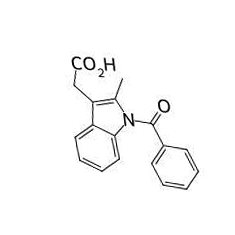 Cc1c(CC(=O)O)c2ccccc2n1C(=O)c1ccccc1